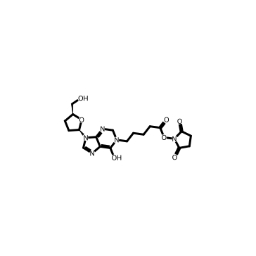 O=C(CCCCN1CN=c2c(ncn2[C@H]2CC[C@@H](CO)O2)=C1O)ON1C(=O)CCC1=O